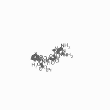 CC(C)OC(=O)[C@@H](C)NP(=O)(OC[C@H]1O[C@@H](n2cnc3c(N)nc(N)nc32)C(Cl)(Cl)[C@@H]1O)Oc1ccccc1